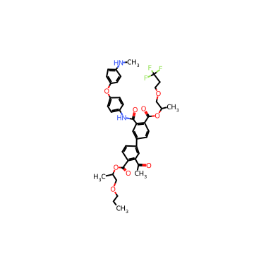 CCCOCC(C)OC(=O)c1ccc(-c2ccc(C(=O)OC(C)COCCC(F)(F)F)c(C(=O)Nc3ccc(Oc4ccc(NC)cc4)cc3)c2)cc1C(C)=O